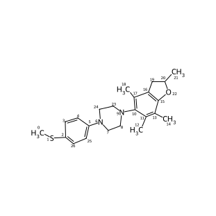 CSc1ccc(N2CCN(c3c(C)c(C)c4c(c3C)CC(C)O4)CC2)cc1